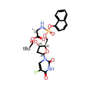 C[C@H](NP(=O)(OC[C@H]1O[C@@H](n2cc(F)c(=O)[nH]c2=O)C[C@H]1O)Oc1cccc2ccccc12)C(=O)OCC(C)(C)C